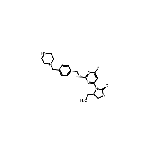 CCC1COC(=O)N1c1cc(F)nc(NCc2ccc(CN3CCNCC3)cc2)n1